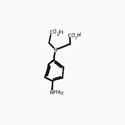 CC(=O)Nc1ccc(N(CC(=O)O)CC(=O)O)cc1